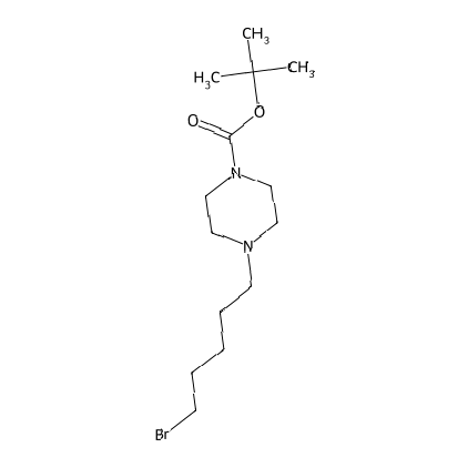 CC(C)(C)OC(=O)N1CCN(CCCCCBr)CC1